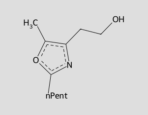 CCCCCc1nc(CCO)c(C)o1